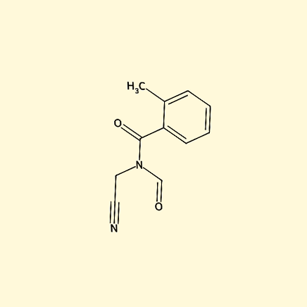 Cc1ccccc1C(=O)N(C=O)CC#N